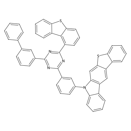 c1ccc(-c2cccc(-c3nc(-c4cccc(-n5c6ccccc6c6cc7c(cc65)sc5ccccc57)c4)nc(-c4cccc5sc6ccccc6c45)n3)c2)cc1